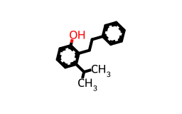 CC(C)c1cccc(O)c1CCc1ccccc1